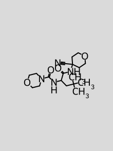 CC(C)(C)CC(NC(=O)N1CCOCC1)C(=O)NC1(C#N)CCOCC1